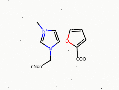 CCCCCCCCCCn1cc[n+](C)c1.O=C([O-])c1ccco1